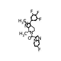 C[C@H]1c2nn(C)c(-c3cc(F)c(F)c(F)c3)c2CCN1C(=O)c1cnc2cc(F)ccn12